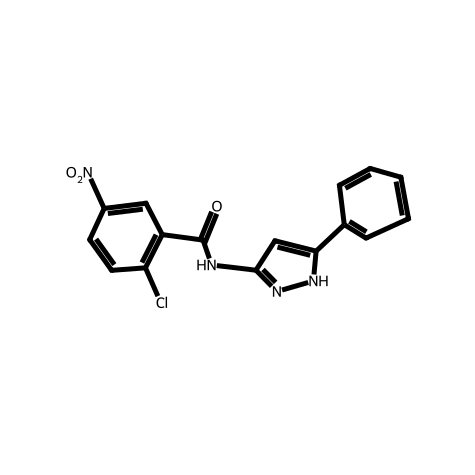 O=C(Nc1cc(-c2ccccc2)[nH]n1)c1cc([N+](=O)[O-])ccc1Cl